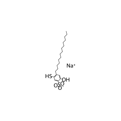 CCCCCCCCCCCCCCCc1cc(O)c(S(=O)(=O)[O-])cc1S.[Na+]